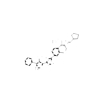 O[C@@H]1c2ccc(-c3noc(-c4onc(-c5ccccc5)c4C(F)(F)F)n3)cc2OC[C@@H]1NCC1CCCC1